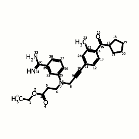 CCOC(=O)CCN(CC#Cc1ccc(C(=O)C2CCCC2)c(C)c1)c1cccc(C(=N)N)c1